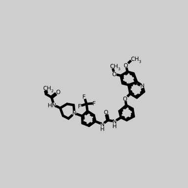 C=CC(=O)NC1CCN(c2ccc(NC(=O)Nc3cccc(Oc4ccnc5cc(OC)c(OC)cc45)c3)cc2C(F)(F)F)CC1